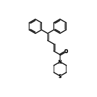 O=C(C=CC=C(c1ccccc1)c1ccccc1)N1CCSCC1